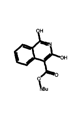 CCCCOC(=O)c1c(O)nc(O)c2ccccc12